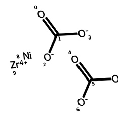 O=C([O-])[O-].O=C([O-])[O-].[Ni].[Zr+4]